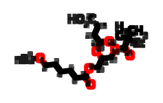 CCCCOCCCCCC(=O)OCC(COC(=O)C(C)(C)CC)OC(=O)CCC(=O)O